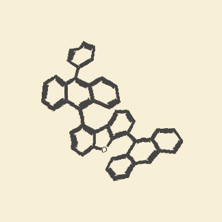 c1ccc(-c2c3ccccc3c(-c3cccc4oc5c(-c6c7ccccc7cc7ccccc67)cccc5c34)c3ccccc23)cc1